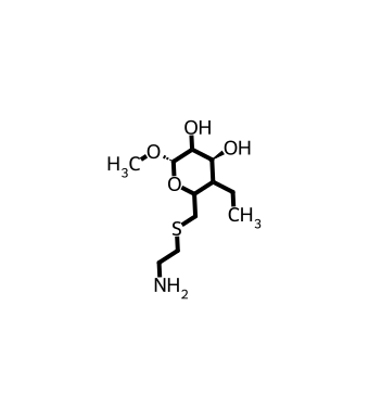 CCC1C(CSCCN)O[C@H](OC)C(O)[C@H]1O